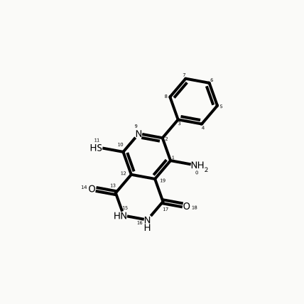 Nc1c(-c2ccccc2)nc(S)c2c(=O)[nH][nH]c(=O)c12